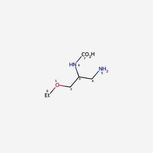 CCOCC(CN)NC(=O)O